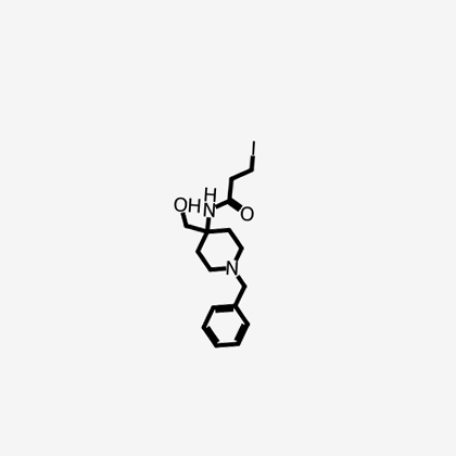 O=C(CCI)NC1(CO)CCN(Cc2ccccc2)CC1